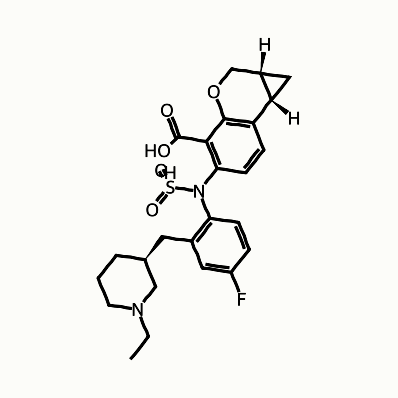 CCN1CCC[C@@H](Cc2cc(F)ccc2N(c2ccc3c(c2C(=O)O)OC[C@@H]2C[C@H]32)[SH](=O)=O)C1